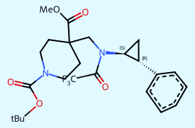 COC(=O)C1(CN(C(=O)C(F)(F)F)[C@H]2C[C@@H]2c2ccccc2)CCN(C(=O)OC(C)(C)C)CC1